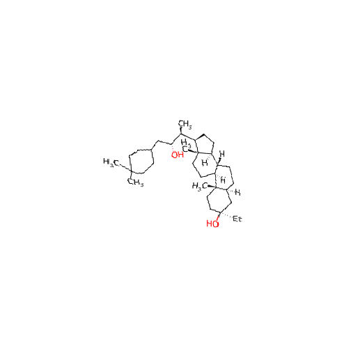 CC[C@]1(O)CC[C@@]2(C)[C@@H](CC[C@@H]3[C@@H]2CC[C@]2(C)[C@@H]([C@H](C)[C@H](O)CC4CCC(C)(C)CC4)CC[C@@H]32)C1